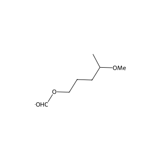 COC(C)CCCO[C]=O